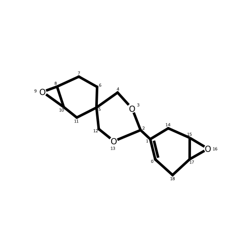 C1=C(C2OCC3(CCC4OC4C3)CO2)CC2OC2C1